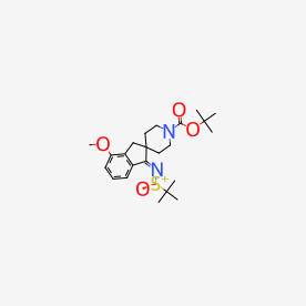 COc1cccc2c1CC1(CCN(C(=O)OC(C)(C)C)CC1)/C2=N/[S@+]([O-])C(C)(C)C